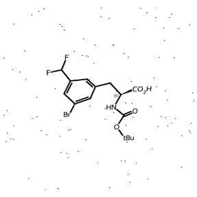 CC(C)(C)OC(=O)N[C@@H](Cc1cc(Br)cc(C(F)F)c1)C(=O)O